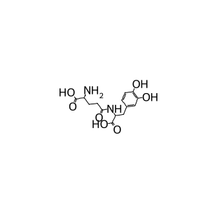 N[C@@H](CCC(=O)NC(Cc1ccc(O)c(O)c1)C(=O)O)C(=O)O